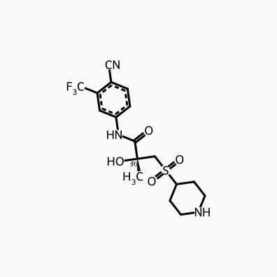 C[C@](O)(CS(=O)(=O)C1CCNCC1)C(=O)Nc1ccc(C#N)c(C(F)(F)F)c1